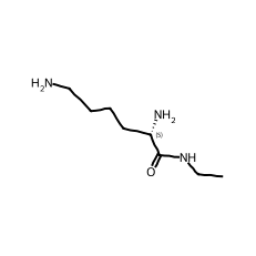 CCNC(=O)[C@@H](N)CCCCN